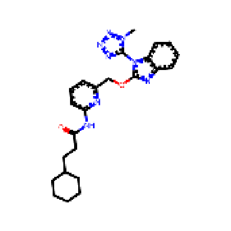 Cn1nnnc1-n1c(OCc2cccc(NC(=O)CCC3CCCCC3)n2)nc2ccccc21